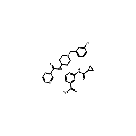 NC(=O)c1ccnc(NC(=O)C2CC2)c1.O=C(NC1CCN(Cc2cccc(Cl)c2)CC1)c1cccnc1